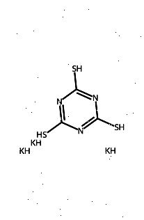 Sc1nc(S)nc(S)n1.[KH].[KH].[KH]